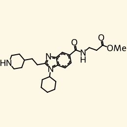 COC(=O)CCNC(=O)c1ccc2c(c1)nc(CCC1CCNCC1)n2C1CCCCC1